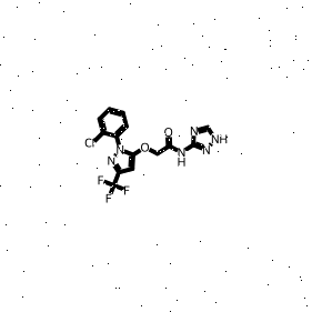 O=C(COc1cc(C(F)(F)F)nn1-c1ccccc1Cl)Nc1nc[nH]n1